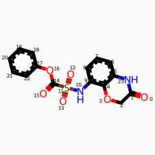 O=C1COc2c(cccc2NS(=O)(=O)C(=O)Oc2ccccc2)N1